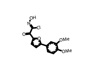 COc1ccc(-c2ccc(C(=O)C(Cl)=NO)o2)cc1OC